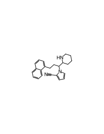 N#Cc1cccn1C(CCc1cccc2ccccc12)C1CCCCN1